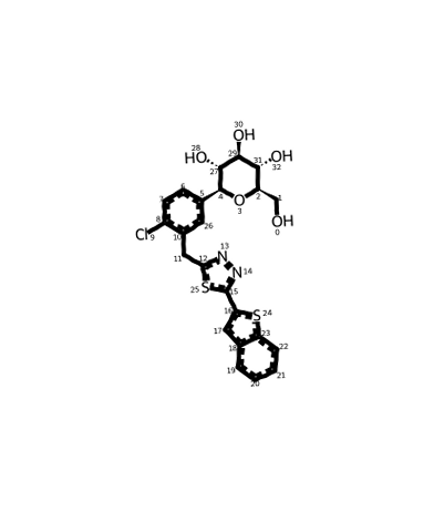 OC[C@H]1O[C@@H](c2ccc(Cl)c(Cc3nnc(-c4cc5ccccc5s4)s3)c2)[C@H](O)[C@@H](O)[C@@H]1O